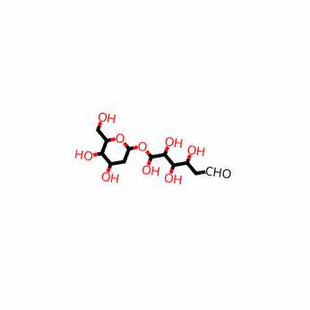 O=CCC(O)C(O)C(O)C(O)OC1CC(O)C(O)C(CO)O1